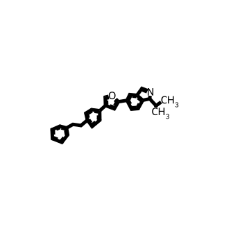 CC(C)C1N=Cc2cc(-c3cc(-c4ccc(CCc5ccccc5)cc4)co3)ccc21